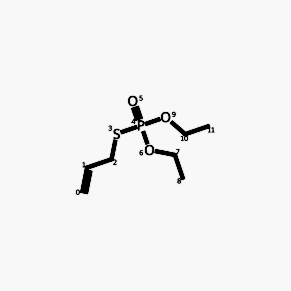 C=CCSP(=O)(OCC)OCC